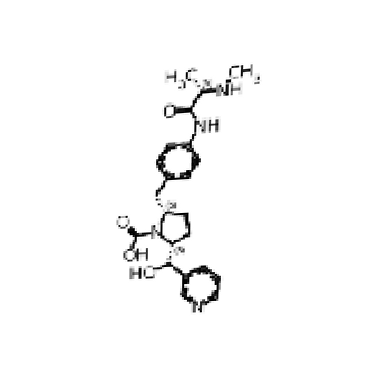 CN[C@@H](C)C(=O)Nc1ccc(C[C@@H]2CC[C@H](C(O)c3cccnc3)N2C(=O)O)cc1